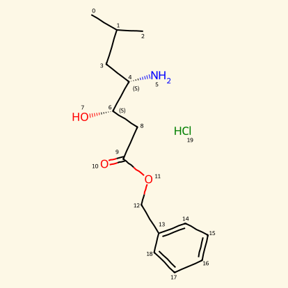 CC(C)C[C@H](N)[C@@H](O)CC(=O)OCc1ccccc1.Cl